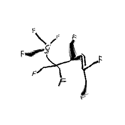 FC(F)=C(F)C(F)(F)[Si](F)(F)F